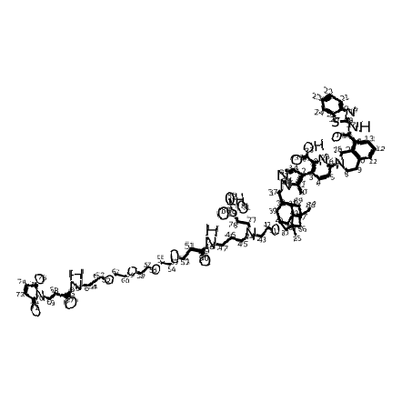 Cc1c(-c2ccc(N3CCc4cccc(C(=O)Nc5nc6ccccc6s5)c4C3)nc2C(=O)O)cnn1CC12CC3(OCCN(CCCNC(=O)CCOCCOCCOCCOCCNC(=O)CCN4C(=O)C=CC4=O)CCS(=O)(=O)O)CC4(C)CC(C)(C1)C4(C2)C3